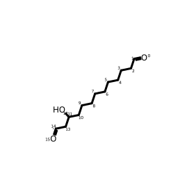 O=[C]CCCCCCCCCC(O)C[C]=O